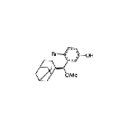 COC(=C1C2CC3CC(C2)CC1C3)c1cc(O)ccc1Br